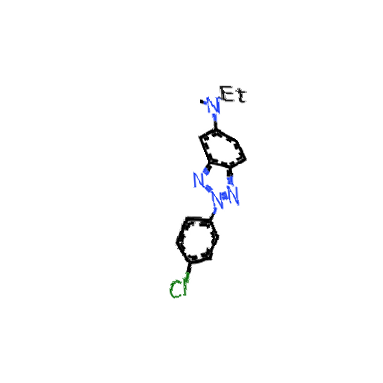 CCN(C)c1ccc2nn(-c3ccc(Cl)cc3)nc2c1